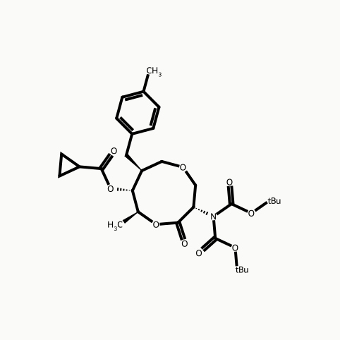 Cc1ccc(C[C@H]2COC[C@H](N(C(=O)OC(C)(C)C)C(=O)OC(C)(C)C)C(=O)O[C@@H](C)[C@@H]2OC(=O)C2CC2)cc1